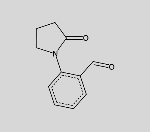 O=Cc1ccccc1N1CCCC1=O